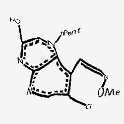 CCCCCn1c(O)nc2ncc(Cl)c(/C=N\OC)c21